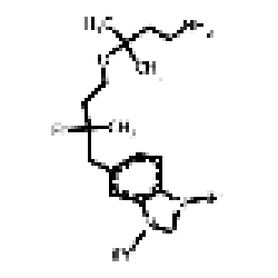 CCC(C)(CCOC(C)(C)CCN)Cc1ccc2c(c1)N(C(C)C)CN2C(C)C